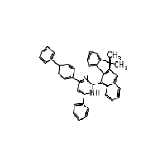 CC1(C)c2ccccc2-c2c1cc1ccccc1c2C1N=C(c2ccc(-c3ccccc3)cc2)C=C(c2ccccc2)N1